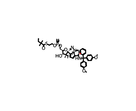 CCC(C)(C)C(=O)SCCO[PH](=O)OC[C@H]1O[C@@](C#N)(c2ccc3c(NC(c4ccccc4)(c4ccc(OC)cc4)c4ccc(OC)cc4)ncnn23)[C@](C)(F)[C@@H]1O